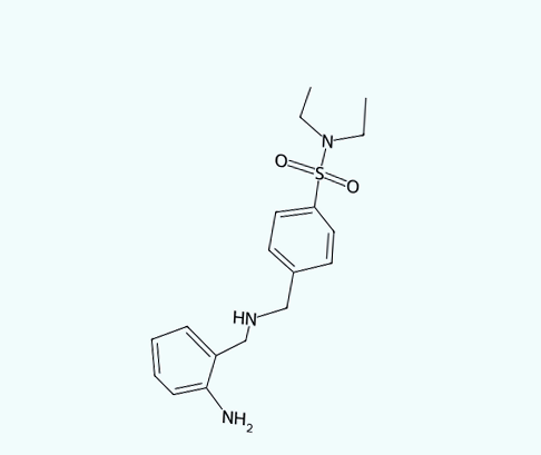 CCN(CC)S(=O)(=O)c1ccc(CNCc2ccccc2N)cc1